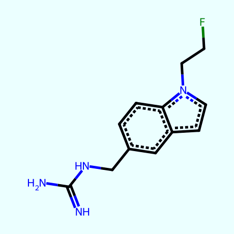 N=C(N)NCc1ccc2c(ccn2CCF)c1